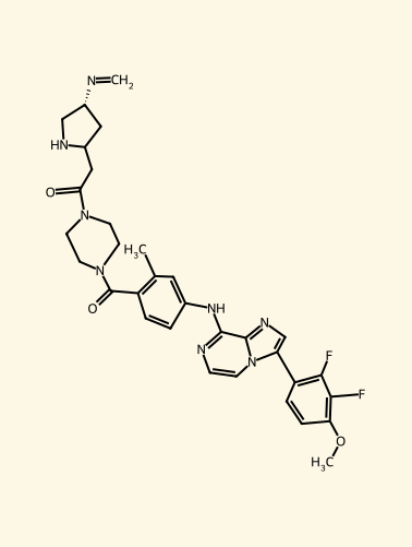 C=N[C@H]1CNC(CC(=O)N2CCN(C(=O)c3ccc(Nc4nccn5c(-c6ccc(OC)c(F)c6F)cnc45)cc3C)CC2)C1